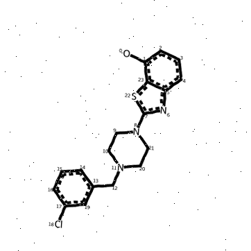 [O]c1cccc2nc(N3CCN(Cc4cccc(Cl)c4)CC3)sc12